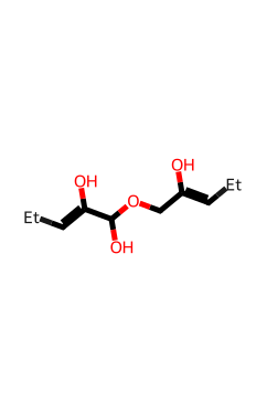 CCC=C(O)COC(O)C(O)=CCC